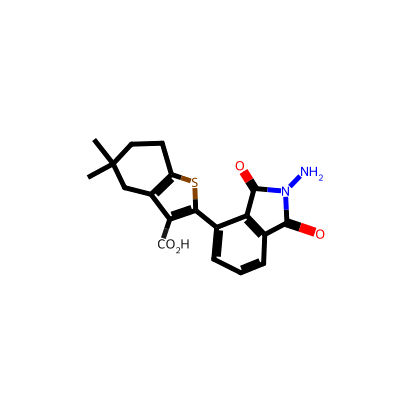 CC1(C)CCc2sc(-c3cccc4c3C(=O)N(N)C4=O)c(C(=O)O)c2C1